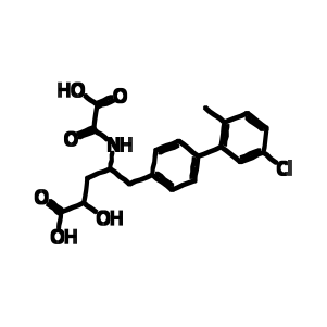 Cc1ccc(Cl)cc1-c1ccc(CC(CC(O)C(=O)O)NC(=O)C(=O)O)cc1